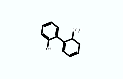 O=C(O)C1CC=CC=C1c1ccccc1O